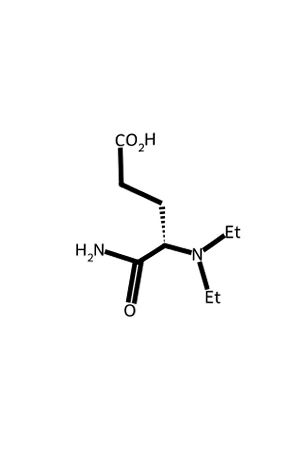 CCN(CC)[C@@H](CCC(=O)O)C(N)=O